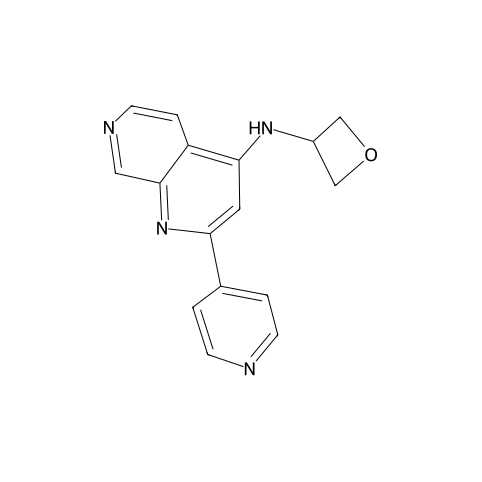 c1cc(-c2cc(NC3COC3)c3ccncc3n2)ccn1